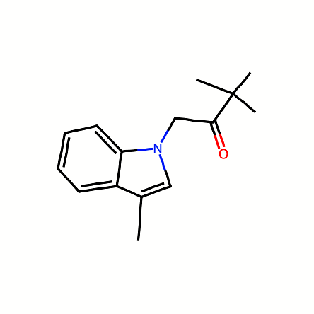 Cc1cn(CC(=O)C(C)(C)C)c2ccccc12